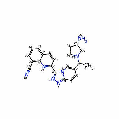 C[C@@H](c1ccc2nnc(-c3ccc4cccc(C#N)c4n3)n2c1)N1CC[C@H](N)C1